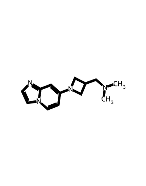 CN(C)CC1CN(c2ccn3ccnc3c2)C1